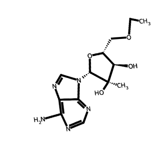 CCOC[C@H]1O[C@@H](n2cnc3c(N)ncnc32)[C@](C)(O)[C@@H]1O